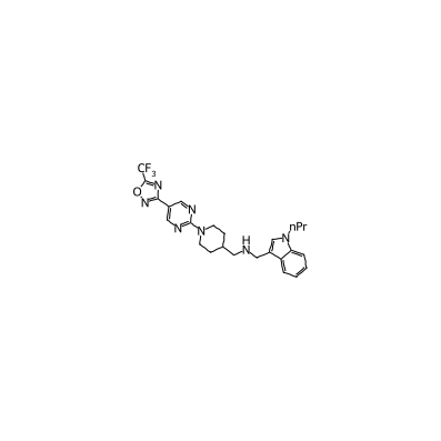 CCCn1cc(CNCC2CCN(c3ncc(-c4noc(C(F)(F)F)n4)cn3)CC2)c2ccccc21